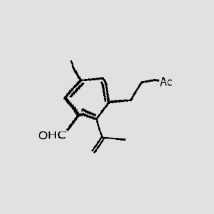 C=C(C)c1c(C=O)cc(C)cc1CCC(C)=O